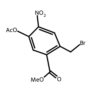 COC(=O)c1cc(OC(C)=O)c([N+](=O)[O-])cc1CBr